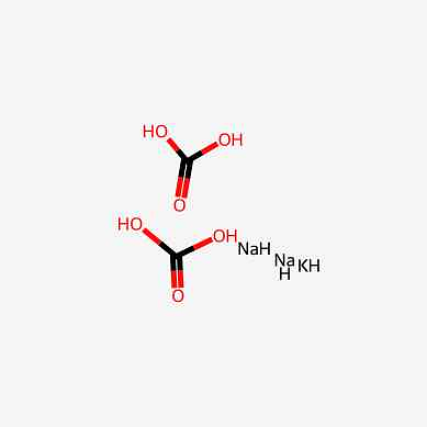 O=C(O)O.O=C(O)O.[KH].[NaH].[NaH]